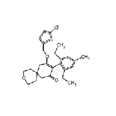 CCc1cc(C)cc(CC)c1C1=C(OCc2ccc(Cl)s2)CC2(CCOCC2)CC1=O